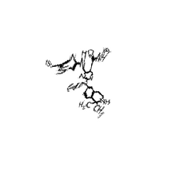 CC(C)NC(=O)c1cnc(Nc2ccc3c(c2)CCNC3(C)C)nc1Nc1csc(C(C)(C)C)n1